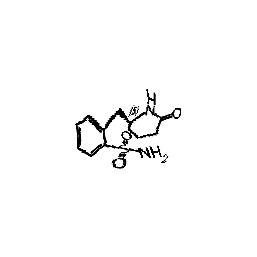 NS(=O)(=O)c1ccccc1C[C@@H]1CCC(=O)N1